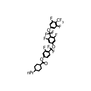 CCCC1CCC(C(=O)Oc2ccc(C(F)(F)Oc3cc(F)c(C(F)(F)Oc4cc(F)c(C(F)(F)F)c(F)c4)c(F)c3)c(F)c2)CC1